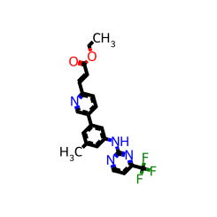 CCOC(=O)C=Cc1ccc(-c2cc(C)cc(Nc3nccc(C(F)(F)F)n3)c2)cn1